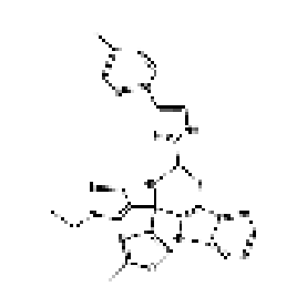 CCn1cc(C2(c3noc(C)n3)NC(c3nc(-c4ccc(F)cn4)c[nH]3)Cc3c2[nH]c2ccccc32)cn1